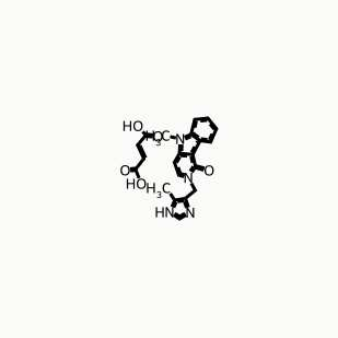 Cc1[nH]cnc1Cn1ccc2c(c1=O)c1ccccc1n2C.O=C(O)C=CC(=O)O